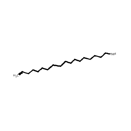 C=CCCCCCCCCCCCCCCCC[TeH]